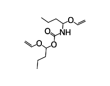 C=COC(CCC)NC(=O)OC(CCC)OC=C